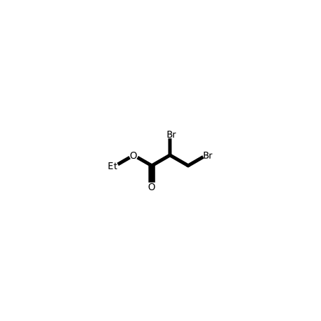 [CH2]COC(=O)C(Br)CBr